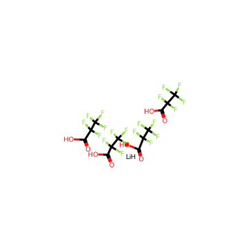 O=C(O)C(F)(F)C(F)(F)F.O=C(O)C(F)(F)C(F)(F)F.O=C(O)C(F)(F)C(F)(F)F.O=C(O)C(F)(F)C(F)(F)F.[LiH]